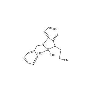 N#CCCC1c2ccccc2N(Cc2ccccc2)S1(O)O